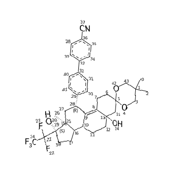 CC1(C)COC2(CCC3=C4C(CCC3(O)C2)C2CC[C@@](O)(C(F)(F)C(F)(F)F)[C@@]2(C)C[C@@H]4c2ccc(-c3ccc(C#N)cc3)cc2)OC1